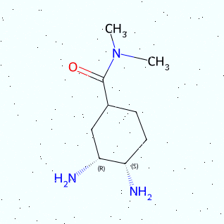 CN(C)C(=O)C1CC[C@H](N)[C@H](N)C1